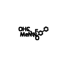 CNC1(CCC=O)CN(C(=O)c2ccc(-c3ccccc3)cc2F)C1